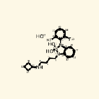 Cl.OS1(O)N(CCCCNC2CCC2)c2ccccc2N1c1c(F)cccc1F